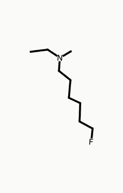 CCN(C)CCCCCCF